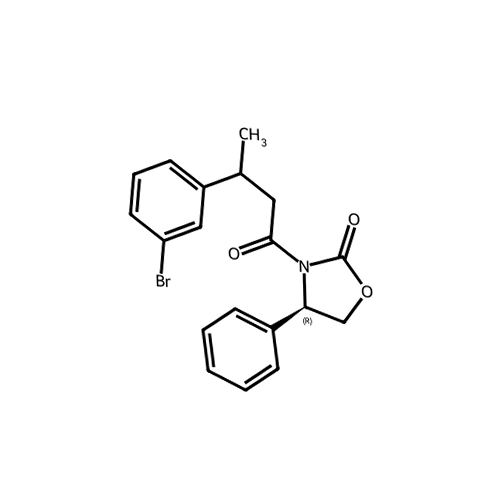 CC(CC(=O)N1C(=O)OC[C@H]1c1ccccc1)c1cccc(Br)c1